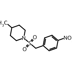 CC1CCN(S(=O)(=O)Cc2ccc([N+](=O)[O-])cc2)CC1